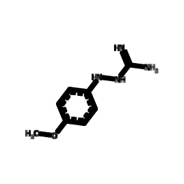 COc1ccc(NNC(=N)N)cc1